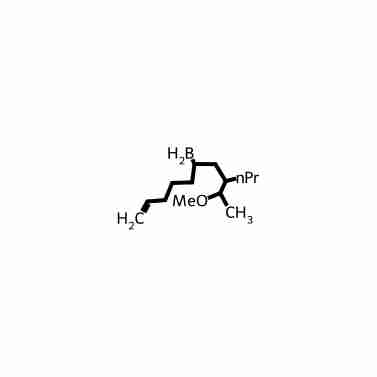 BC(CCCC=C)CC(CCC)C(C)OC